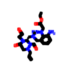 C=CCN1CC(=O)N(CC=O)[C@H](CN(C)Cc2cccc(N)c2N(N)CC(=O)OCC)N1C=O